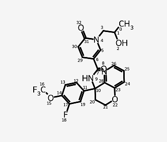 CC(O)Cn1cc(C(=O)NC2(c3ccc(OC(F)(F)F)c(F)c3)CCOc3cccnc32)ccc1=O